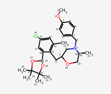 COc1ccc(CN2CC(Cc3c(C)cc(Cl)cc3B3OC(C)(C)C(C)(C)O3)OC[C@@H]2C)cc1